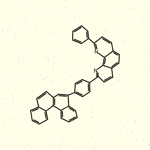 c1ccc(-c2ccc3ccc4ccc(-c5ccc(-c6cc7ccc8ccccc8c7c7ccccc67)cc5)nc4c3n2)cc1